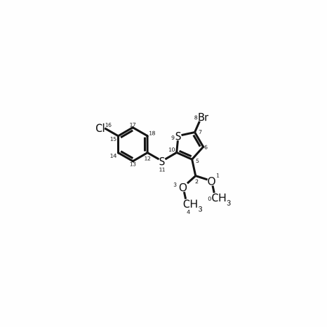 COC(OC)c1cc(Br)sc1Sc1ccc(Cl)cc1